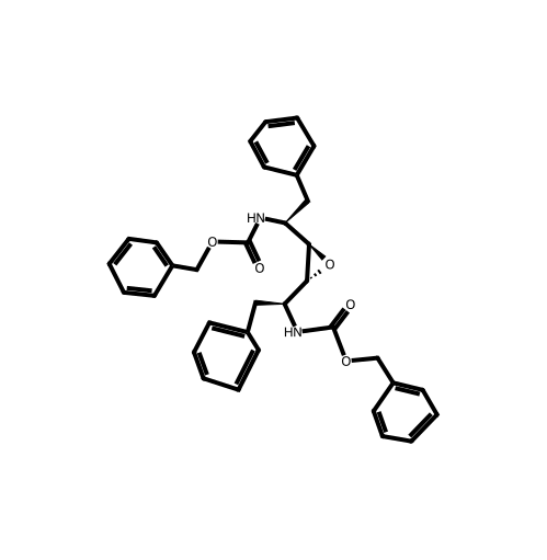 O=C(N[C@@H](Cc1ccccc1)[C@H]1O[C@@H]1[C@H](Cc1ccccc1)NC(=O)OCc1ccccc1)OCc1ccccc1